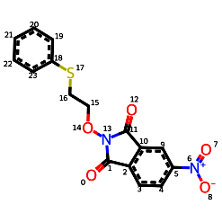 O=C1c2ccc([N+](=O)[O-])cc2C(=O)N1OCCSc1ccccc1